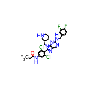 O=C(CC(F)(F)F)Nc1cc(Cl)c(-c2nc3cnc(NCc4ccc(F)c(F)c4)nc3n2C[C@@H]2CCCNC2)c(Cl)c1